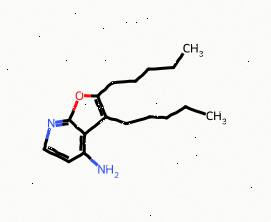 CCCCCc1oc2nccc(N)c2c1CCCCC